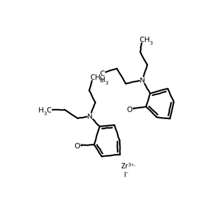 CCCN(CCC)c1ccccc1[O-].CCCN(CCC)c1ccccc1[O-].[I-].[Zr+3]